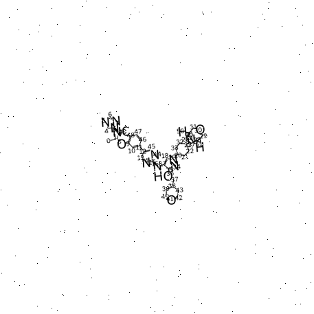 CC(Cn1cncn1)Oc1cc(-c2cnc(Nc3cn(C4CCC(N5[C@@H]6CC[C@H]5COC6)CC4)nc3OCC3CCOCC3)nc2)ccc1C#N